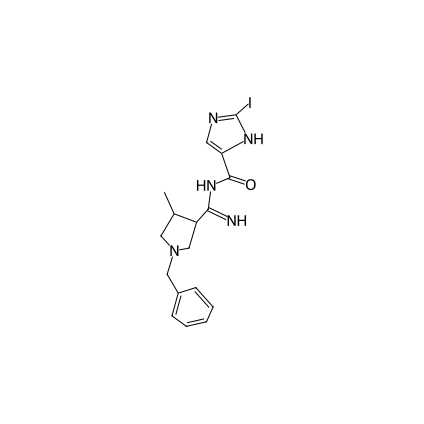 CC1CN(Cc2ccccc2)CC1C(=N)NC(=O)c1cnc(I)[nH]1